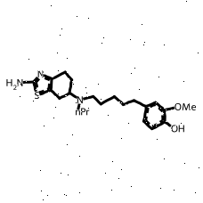 CCCN(CCCCCc1ccc(O)c(OC)c1)C1CCc2nc(N)sc2C1